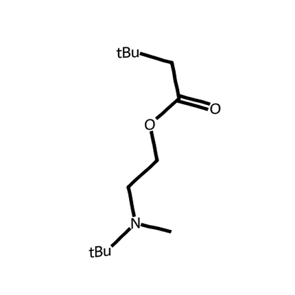 CN(CCOC(=O)CC(C)(C)C)C(C)(C)C